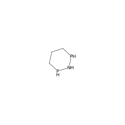 C1CPNPC1